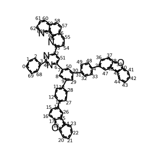 c1ccc(-c2nc(-c3cc(-c4ccc(-c5ccc6oc7ccccc7c6c5)cc4)cc(-c4ccc(-c5ccc6oc7ccccc7c6c5)cc4)c3)cc(-c3ccc4ccc5cccnc5c4n3)n2)cc1